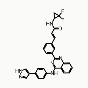 O=C(/C=C/c1cccc(-c2nc(Nc3ccc(-c4cn[nH]c4)cc3)c3ccccc3n2)c1)NC1CC1(F)F